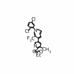 CCS(=O)(=O)c1ncc(C2=C/C=C/CN(c3cc(Cl)ccc3Cl)C=C2C(F)(F)F)cc1C